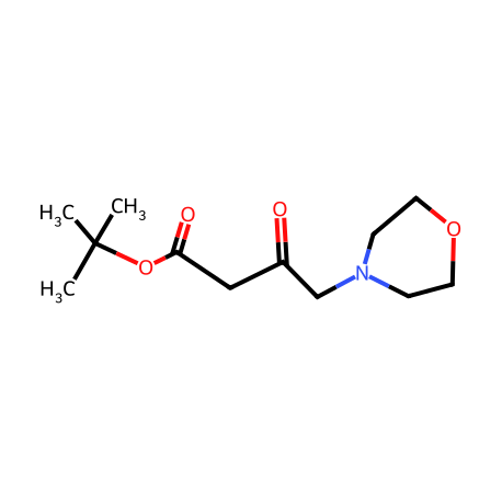 CC(C)(C)OC(=O)CC(=O)CN1CCOCC1